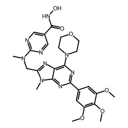 COc1cc(-c2nc(N3CCOCC3)c3nc(CN(C)c4ncc(C(=O)NO)cn4)n(C)c3n2)cc(OC)c1OC